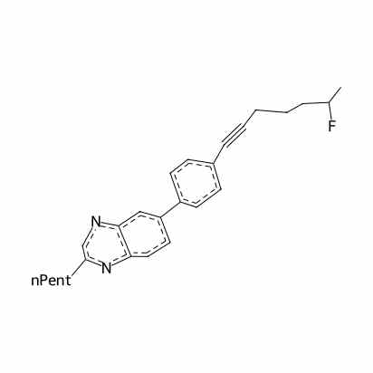 CCCCCc1cnc2cc(-c3ccc(C#CCCCC(C)F)cc3)ccc2n1